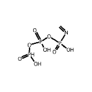 C=NP(=O)(O)OP(=O)(O)O[PH](=O)O